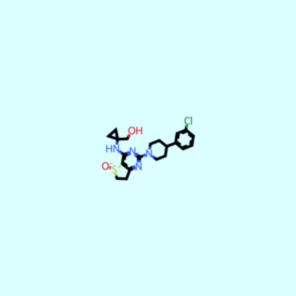 [O-][S+]1CCc2nc(N3CCC(c4cccc(Cl)c4)CC3)nc(NC3(CO)CC3)c21